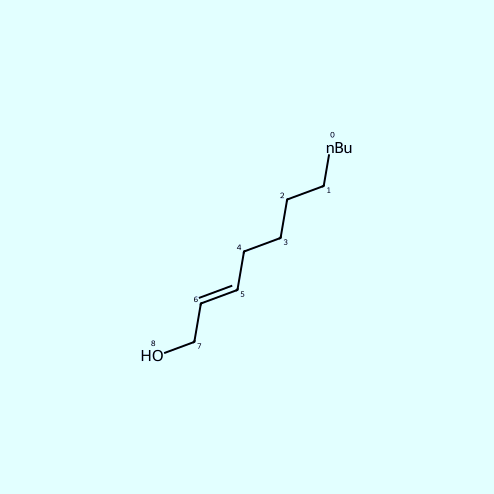 CCCCCCCC/C=C/CO